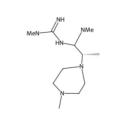 CNC(=N)NC(NC)[C@H](C)N1CCN(C)CC1